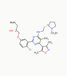 CCOC(=O)N1CCC[C@H]1CCNc1nc(-c2cc(OC[C@H](O)CNC)ccc2Cl)nc(-c2c(C)noc2C)c1C